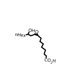 CCCCCCC(O)CC1=C(CCCCCCCC(=O)O)O1